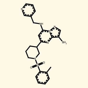 Bc1cnn2c(NCc3cccnc3)cc(C3CCCN(S(=O)(=O)c4ccccc4C)C3)nc12